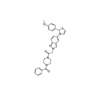 COc1ccc(C2SC=CN2c2ccc3nn(CC(=O)N4CCN(C(=O)c5ccccc5)CC4)cc3c2)cc1